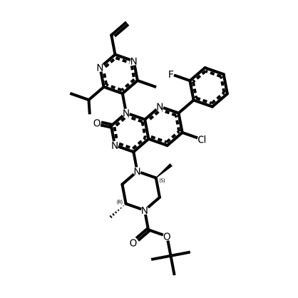 C=Cc1nc(C)c(-n2c(=O)nc(N3C[C@@H](C)N(C(=O)OC(C)(C)C)C[C@@H]3C)c3cc(Cl)c(-c4ccccc4F)nc32)c(C(C)C)n1